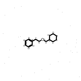 [CH]1CCC(COCCc2ccccc2)CC1